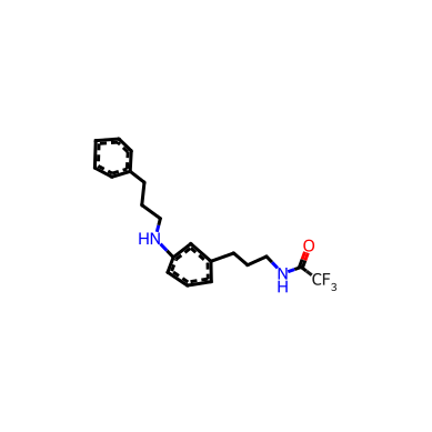 O=C(NCCCc1cccc(NCCCc2ccccc2)c1)C(F)(F)F